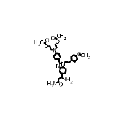 COc1ccc(CCn2c(-c3ccc(N(CCOC(C)=O)CCOC(C)=O)cc3)nc3cc(C(N)CC(N)=O)ccc32)cc1